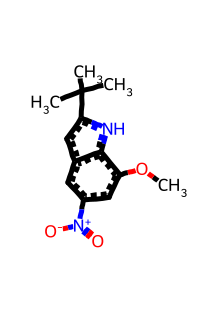 COc1cc([N+](=O)[O-])cc2cc(C(C)(C)C)[nH]c12